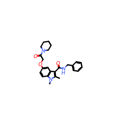 Cc1c(C(=O)NCc2ccccc2)c2cc(OCC(=O)N3CCCCC3)ccc2n1C